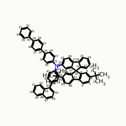 CC(C)(C)c1ccc2c(c1)C1(c3ccccc3-c3ccc(N(c4ccc(-c5ccc(-c6ccccc6)cc5)cc4)c4ccc(-c5cccc6ccccc56)cc4)cc31)c1cc(C(C)(C)C)ccc1-2